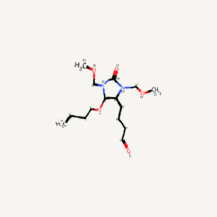 CCCCOC1C(CCCC=O)N(COC)C(=O)N1COC